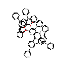 c1ccc(-c2ccc3c(c2)c2ccccc2n3-c2nc(-n3c4ccc(-c5ccccc5)cc4c4cc(-c5ccccc5)ccc43)c(-n3c4ccccc4c4ccccc43)c(-c3ccccc3-c3nc(-c4ccccc4)nc(-c4ccccc4)n3)c2-n2c3ccccc3c3ccccc32)cc1